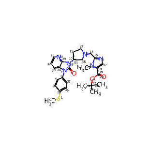 CSc1ccc(-n2c(=O)n([C@H]3CCN(Cc4ncc(C(=O)OC(C)(C)C)n4C)C3)c3ncccc32)cc1